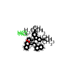 CC(C)(C)c1ccc2c(c1)-c1cc(C(C)(C)C)ccc1[CH]2[Zr]([C]1=CC=CC1)=[C](Cc1cccc2ccccc12)Cc1cccc2ccccc12.Cl.Cl